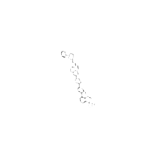 N#Cc1ccc2c3c(cccc13)-c1ccc(-c3ccc(-c4cc5ccc6cc(-c7cccc(-c8ccccc8)n7)cc7ccc(c4)c5c67)cc3)cc1O2